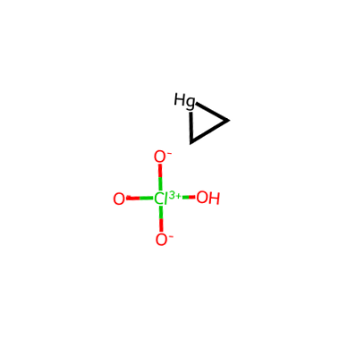 [CH2]1[CH2][Hg]1.[O-][Cl+3]([O-])([O-])O